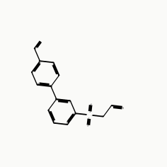 [CH]=Cc1ccc(-c2cccc(S(=O)(=O)CC=C)c2)cc1